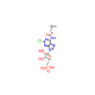 CCCCCCCCCCCCOC(=O)Nc1nc(Cl)nc2c1ncn2[C@@H]1O[C@H](CCP(=O)(O)O)C(O)C1O